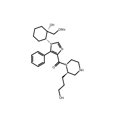 COC[C@]1(O)CCCC[C@H]1n1cnc(C(=O)N2CCNC[C@H]2CCCO)c1-c1ccccc1